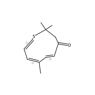 CC1=C/C=C/SC(C)(C)CC(=O)\C=C\1